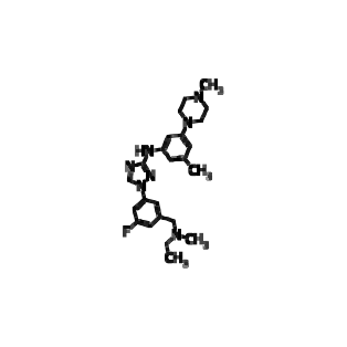 CCN(C)Cc1cc(F)cc(-n2cnc(Nc3cc(C)cc(N4CCN(C)CC4)c3)n2)c1